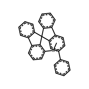 CBc1cccc2c1C1(c3ccccc3-c3ccc(-c4ccccc4)cc31)c1ccccc1-2